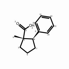 C[C@]1(C(=O)O)CCC[C@@H]1c1ccccc1